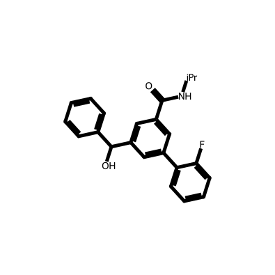 CC(C)NC(=O)c1cc(-c2ccccc2F)cc(C(O)c2ccccc2)c1